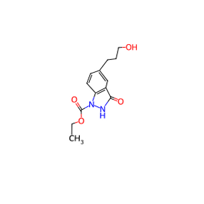 CCOC(=O)n1[nH]c(=O)c2cc(CCCO)ccc21